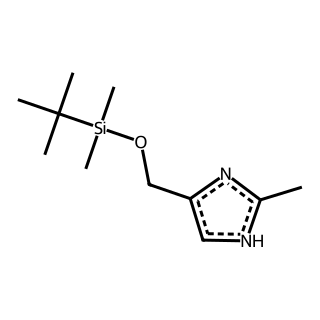 Cc1nc(CO[Si](C)(C)C(C)(C)C)c[nH]1